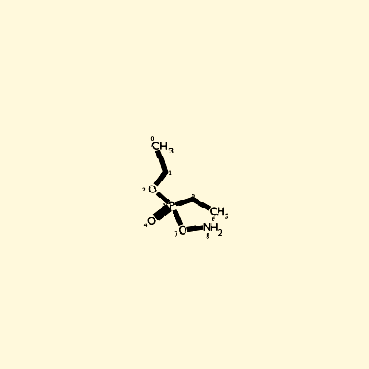 CCOP(=O)(CC)ON